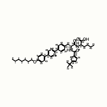 CCCCCCCOc1ccc(-c2cnc(-c3ccc(C[C@H](NC(=O)c4ccc(C(C)(C)C)s4)C(=O)NC(CCCC)C(=O)O)cc3)nc2)cc1